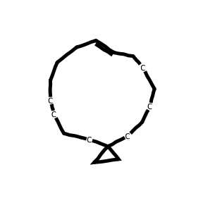 C1=C/CCCCCCC2(CCCCCCC/1)CC2